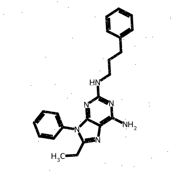 CCc1nc2c(N)nc(NCCCc3ccccc3)nc2n1-c1ccccc1